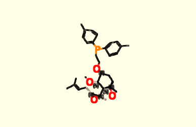 CO[C@@H]1[C@H](OCCP(c2ccc(C)cc2)c2ccc(C)cc2)CC[C@]2(CO2)[C@H]1[C@@]1(C)O[C@@H]1CC=C(C)C